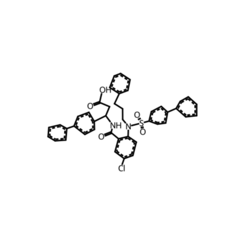 O=C(O)CC(NC(=O)c1cc(Cl)ccc1N(CCCc1ccccc1)S(=O)(=O)c1ccc(-c2ccccc2)cc1)c1ccc(-c2ccccc2)cc1